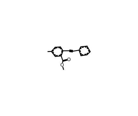 COC(=O)c1cc(C)ccc1C#Cc1ccccc1